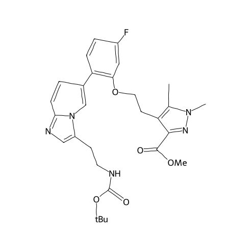 COC(=O)c1nn(C)c(C)c1CCOc1cc(F)ccc1-c1ccc2ncc(CCNC(=O)OC(C)(C)C)n2c1